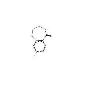 O=C1NCCCc2cc(O)ccc21